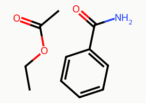 CCOC(C)=O.NC(=O)c1ccccc1